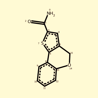 NC(=O)c1cc2c(s1)-c1ccccc1OC2